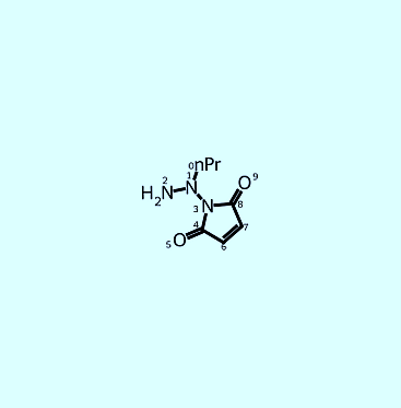 CCCN(N)N1C(=O)C=CC1=O